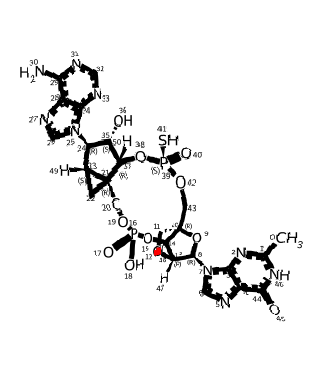 Cc1nc2c(ncn2[C@@H]2O[C@@]34CO[C@@H]2[C@@H]3OP(=O)(O)OC[C@@]23C[C@@H]2[C@@H](n2cnc5c(N)ncnc52)[C@H](O)[C@@H]3O[P@@](=O)(S)OC4)c(=O)[nH]1